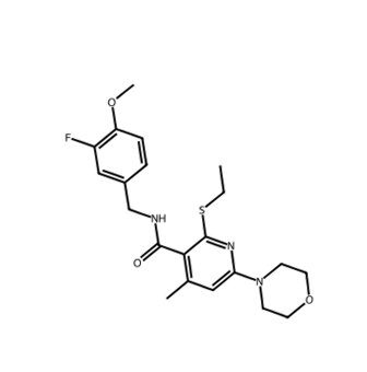 CCSc1nc(N2CCOCC2)cc(C)c1C(=O)NCc1ccc(OC)c(F)c1